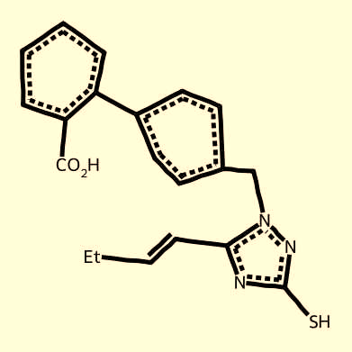 CCC=Cc1nc(S)nn1Cc1ccc(-c2ccccc2C(=O)O)cc1